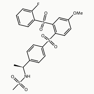 COc1ccc(S(=O)(=O)c2ccc([C@H](C)NS(C)(=O)=O)cc2)c(S(=O)(=O)c2ccccc2F)c1